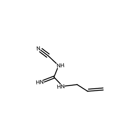 C=CCNC(=N)NC#N